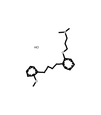 COc1ccccc1CCCCc1ccccc1OCCCN(C)C.Cl